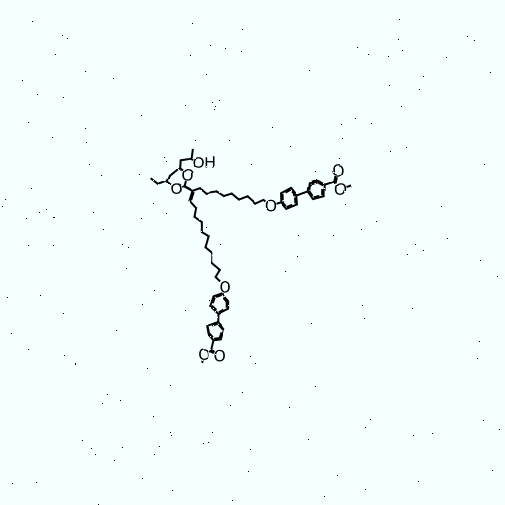 CCC1CC(CC(C)O)OC(/C(=C/CCCCCCCCCCOc2ccc(-c3ccc(C(=O)OC)cc3)cc2)CCCCCCCCCOc2ccc(-c3ccc(C(=O)OC)cc3)cc2)O1